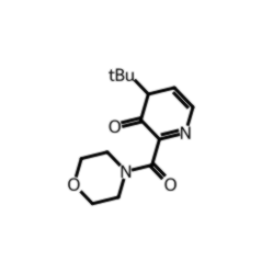 CC(C)(C)C1C=CN=C(C(=O)N2CCOCC2)C1=O